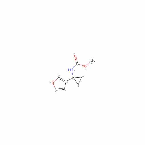 CC(C)(C)OC(=O)NC1(c2ccoc2)CC1